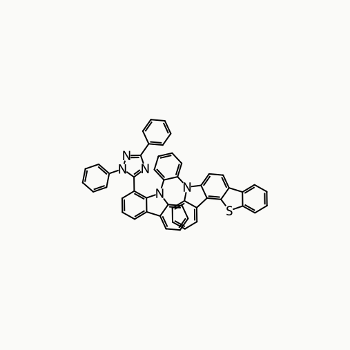 c1ccc(-c2nc(-c3cccc4c5ccccc5n(-c5ccccc5-n5c6ccccc6c6c7sc8ccccc8c7ccc65)c34)n(-c3ccccc3)n2)cc1